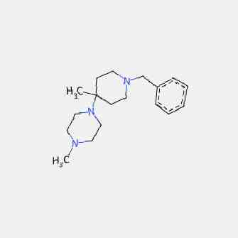 CN1CCN(C2(C)CCN(Cc3ccccc3)CC2)CC1